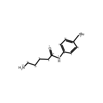 CC(C)(C)c1ccc(NC(=O)CCCCN)cc1